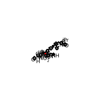 Cc1ccccc1[C@@H]1CN(Cc2cnc(N3CCOC[C@@H]3C)c(OC(C)C)c2)CCN1C1CC2(CCN(c3ccc(C(=O)NS(=O)(=O)c4cc5c(c([N+](=O)[O-])c4)N[C@H](C4CCOCC4)CO5)c(N4c5cc6cc[nH]c6nc5O[C@H]5COCC[C@@H]54)c3)CC2)C1